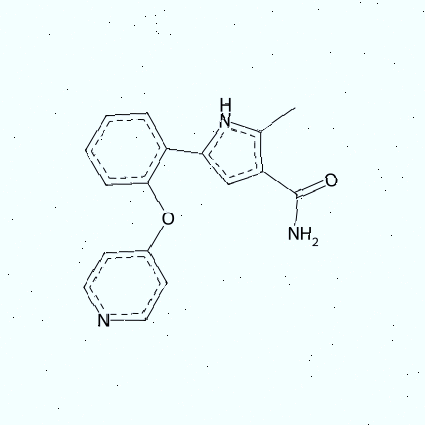 Cc1[nH]c(-c2ccccc2Oc2ccncc2)cc1C(N)=O